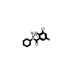 CN(C(=O)c1cc(F)cc(Cl)c1N)C1CCCCC1